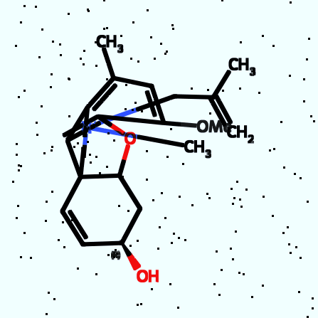 C=C(C)C[N+]1(C)CCC23C=C[C@H](O)CC2Oc2c(OC)cc(C)c(c23)C1